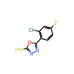 Fc1ccc(-c2nnc(S)o2)c(Cl)c1